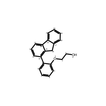 OCCOc1ccccc1-c1cccc2c1Cc1ccccc1-2